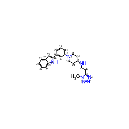 Cn1nnnc1CCNC1CCN(c2cccc(-c3cc4ccccc4[nH]3)c2)CC1